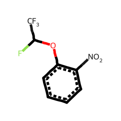 O=[N+]([O-])c1ccccc1OC(F)C(F)(F)F